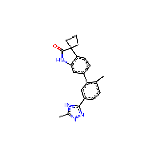 Cc1nnc(-c2ccc(C)c(-c3ccc4c(c3)NC(=O)C43CCC3)c2)[nH]1